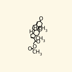 CC(=O)OCC(=O)C1=CC[C@H]2[C@@H]3CCC4=CC(=O)CC[C@]4(C)[C@]34OC4C[C@]12C